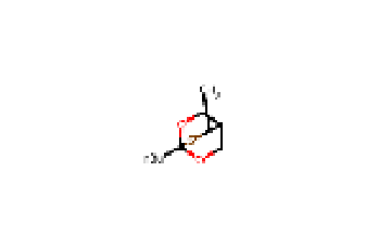 CCCCC12OCC(CO1)C(C)S2